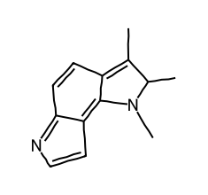 CC1=c2ccc3c(c2N(C)C1C)C=CN=3